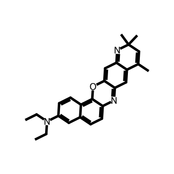 CCN(CC)c1ccc2c3c(ccc2c1)N=c1cc2c(cc1O3)=NC(C)(C)C=C2C